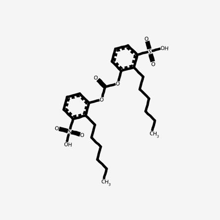 CCCCCCc1c(OC(=O)Oc2cccc(S(=O)(=O)O)c2CCCCCC)cccc1S(=O)(=O)O